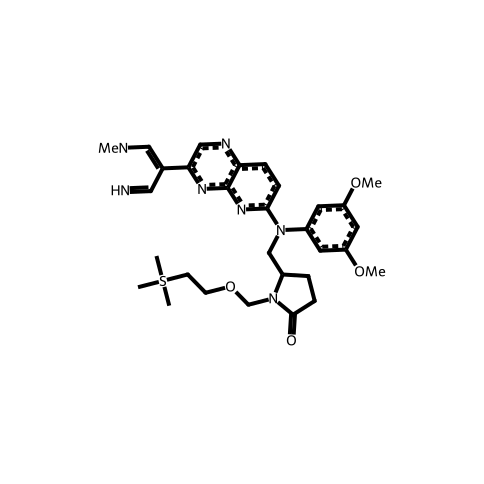 CN/C=C(\C=N)c1cnc2ccc(N(CC3CCC(=O)N3COCCS(C)(C)C)c3cc(OC)cc(OC)c3)nc2n1